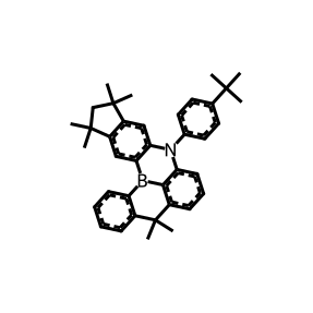 CC(C)(C)c1ccc(N2c3cc4c(cc3B3c5ccccc5C(C)(C)c5cccc2c53)C(C)(C)CC4(C)C)cc1